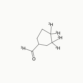 [2H]C(=O)C1CCC([2H])([2H])C([2H])([2H])C1